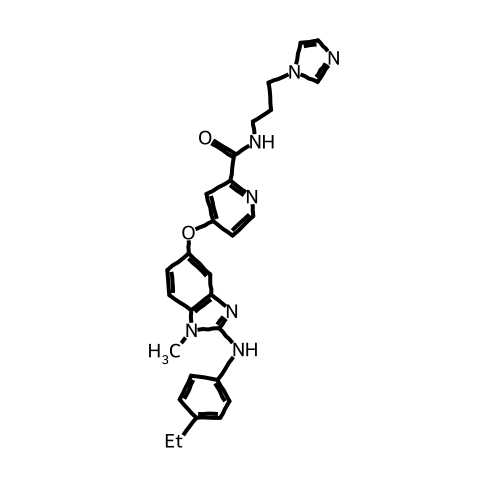 CCc1ccc(Nc2nc3cc(Oc4ccnc(C(=O)NCCCn5ccnc5)c4)ccc3n2C)cc1